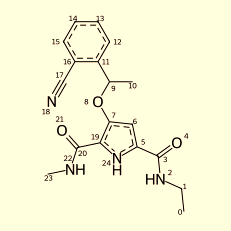 CCNC(=O)c1cc(OC(C)c2ccccc2C#N)c(C(=O)NC)[nH]1